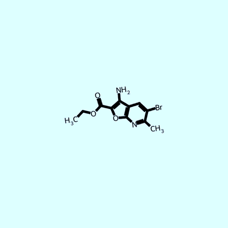 CCOC(=O)c1oc2nc(C)c(Br)cc2c1N